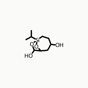 CC(C)[Si]12CCC(O)CC(O1)C(O)O2